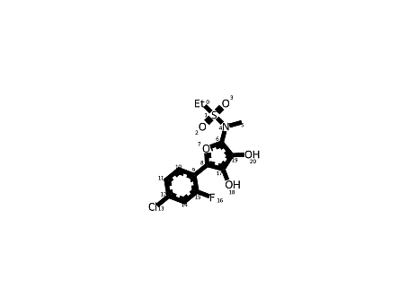 CCS(=O)(=O)N(C)c1oc(-c2ccc(Cl)cc2F)c(O)c1O